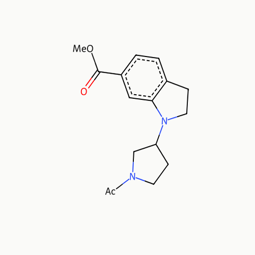 COC(=O)c1ccc2c(c1)N(C1CCN(C(C)=O)C1)CC2